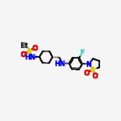 CCS(=O)(=O)N[C@H]1CC[C@H](CNc2ccc(N3CCCS3(=O)=O)c(F)c2)CC1